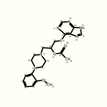 COc1ccccc1N1CCN(CC(CSc2ncnc3[nH]cnc23)OC(C)=O)CC1